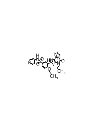 CCCOc1ccc(S(=O)(=O)Nc2ccncc2)cc1-c1nc2c([nH]1)c1nncn1c(=O)n2CCC